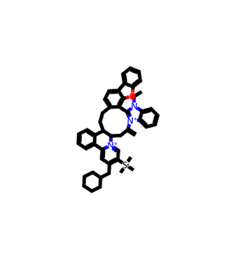 C=C1CC2C(CCc3ccc4c(oc5ccccc54)c3-c3n(CC)c4ccccc4[n+]31)c1ccccc1-c1cc(CC3CCCCC3)c([Si](C)(C)C)c[n+]12